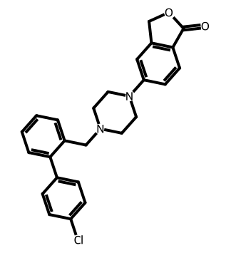 O=C1OCc2cc(N3CCN(Cc4ccccc4-c4ccc(Cl)cc4)CC3)ccc21